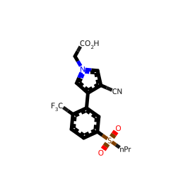 CCCS(=O)(=O)c1ccc(C(F)(F)F)c(-c2cn(CC(=O)O)cc2C#N)c1